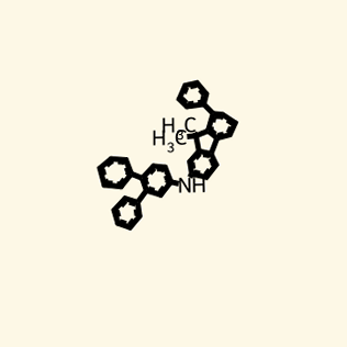 CC1(C)c2cc(Nc3ccc(-c4ccccc4)c(-c4ccccc4)c3)ccc2-c2cccc(-c3ccccc3)c21